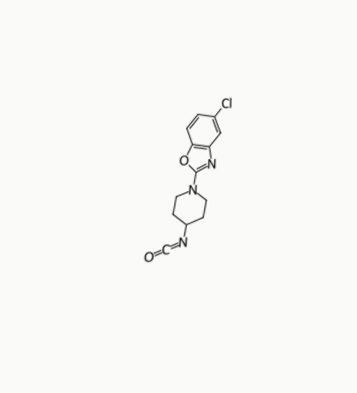 O=C=NC1CCN(c2nc3cc(Cl)ccc3o2)CC1